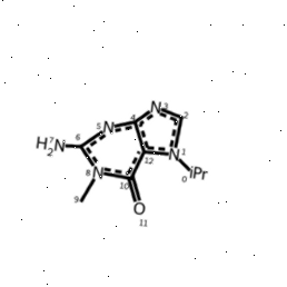 CC(C)n1cnc2nc(N)n(C)c(=O)c21